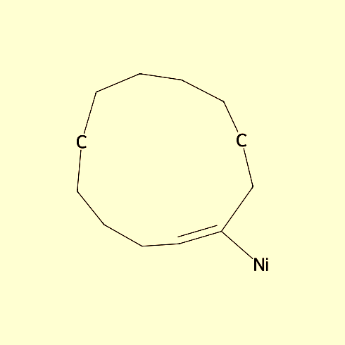 [Ni][C]1=CCCCCCCCCCC1